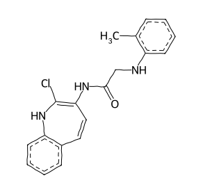 Cc1ccccc1NCC(=O)NC1=C(Cl)Nc2ccccc2C=C1